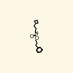 O=C([N]CCCC1CCC1)OCCCc1ccccc1